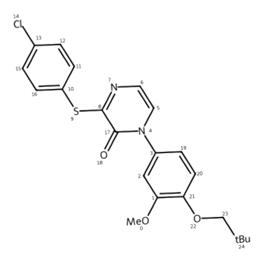 COc1cc(-n2ccnc(Sc3ccc(Cl)cc3)c2=O)ccc1OCC(C)(C)C